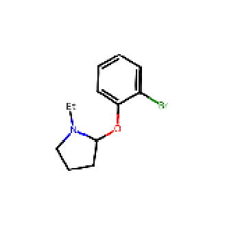 CCN1CCCC1Oc1ccccc1Br